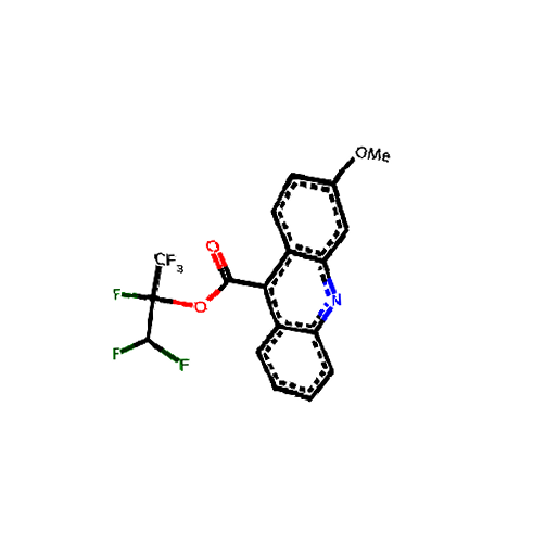 COc1ccc2c(C(=O)OC(F)(C(F)F)C(F)(F)F)c3ccccc3nc2c1